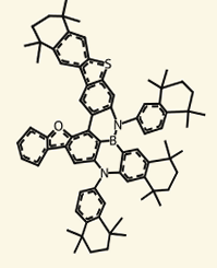 CC1(C)CCC(C)(C)c2cc(N3B4c5cc6c(cc5N(c5ccc7c(c5)C(C)(C)CCC7(C)C)c5cc7c(oc8ccccc87)c(c54)-c4cc5c(cc43)sc3cc4c(cc35)C(C)(C)CCC4(C)C)C(C)(C)CCC6(C)C)ccc21